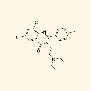 CCN(CC)CCn1c(-c2ccc(C)cc2)nc2c(Cl)cc(Cl)cc2c1=O